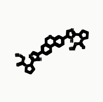 CC(C)(C)OC(=O)N1CCCC1c1ncc(-c2ccc3c(c2)COc2cc(-c4cnc(C5CCCN5C(=O)OC(C)(C)C)[nH]4)ccc2-3)[nH]1